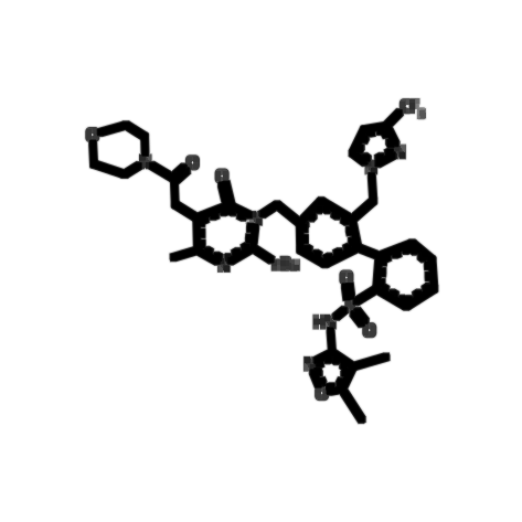 CCCCc1nc(C)c(CC(=O)N2CCOCC2)c(=O)n1Cc1ccc(-c2ccccc2S(=O)(=O)Nc2noc(C)c2C)c(Cn2ccc(C(F)(F)F)n2)c1